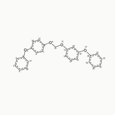 c1ccc(Oc2ccc(OCOc3cccc(Oc4ccccc4)c3)cc2)cc1